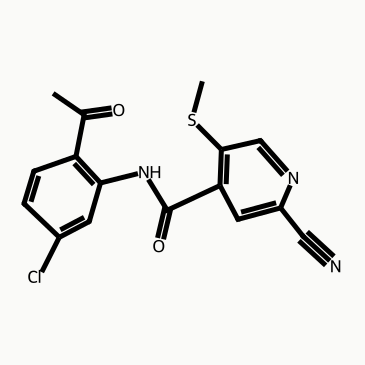 CSc1cnc(C#N)cc1C(=O)Nc1cc(Cl)ccc1C(C)=O